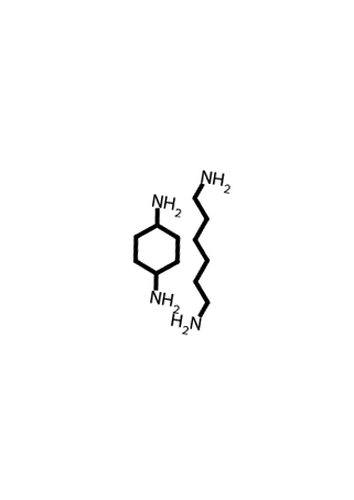 NC1CCC(N)CC1.NCCCCCCN